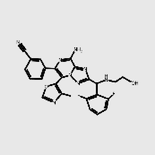 Cc1ncoc1-c1c(-c2cccc(C#N)c2)nc(N)c2nc(C(NCCO)c3c(F)cccc3F)nn12